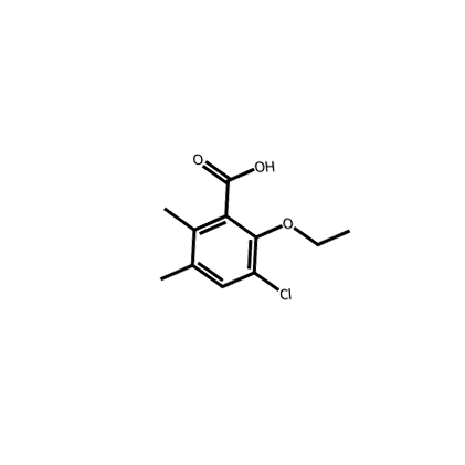 CCOc1c(Cl)cc(C)c(C)c1C(=O)O